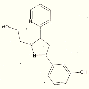 OCCN1N=C(c2cccc(O)c2)CC1c1ccccn1